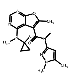 Cc1oc2ncnc(N(C)C3(C)CC3)c2c1C(=O)N(I)c1cc(C)n(C)n1